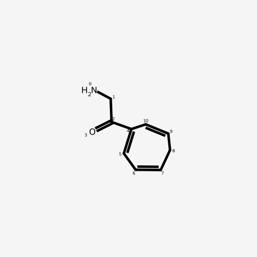 NCC(=O)C1=CC=CCC=C1